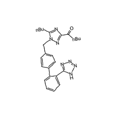 CCCCC(=O)c1nc(CCCC)n(Cc2ccc(-c3ccccc3-c3nnn[nH]3)cc2)n1